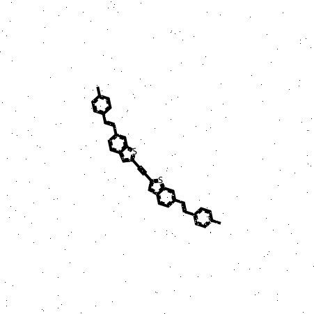 Cc1ccc(/C=C/c2ccc3cc(C#Cc4cc5ccc(/C=C/c6ccc(C)cc6)cc5s4)sc3c2)cc1